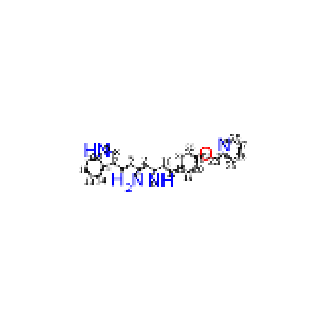 N=C(/C=C(N)/C=C/c1c[nH]c2ccccc12)/C=C/c1ccc(OCc2ccccn2)cc1